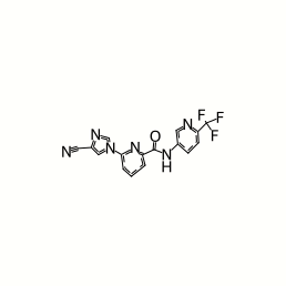 N#Cc1cn(-c2cccc(C(=O)Nc3ccc(C(F)(F)F)nc3)n2)cn1